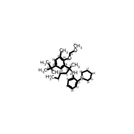 CCCCC(C)(Pc1ccccc1N1CCCCC1)c1cc(C(C)(C)C)cc(C)c1OCOC